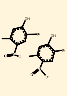 Cc1cc(O)c(Br)cc1[N+](=O)[O-].Cc1cc(O)c(Br)cc1[N+](=O)[O-]